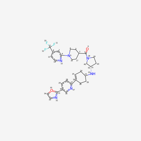 O=C(C1CCN(c2cc(C(F)(F)F)ccn2)CC1)N1CC[C@H](NC2CC=C(c3ccc(-c4ncco4)cn3)CC2)C1